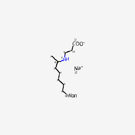 CCCCCCCCCCCCCCC(C)NCCC(=O)[O-].[Na+]